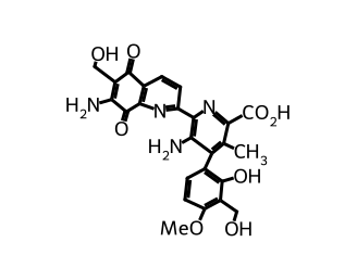 COc1ccc(-c2c(C)c(C(=O)O)nc(-c3ccc4c(n3)C(=O)C(N)=C(CO)C4=O)c2N)c(O)c1CO